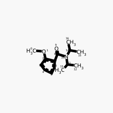 COc1ccccc1C(=O)N(C(C)C)C(C)C